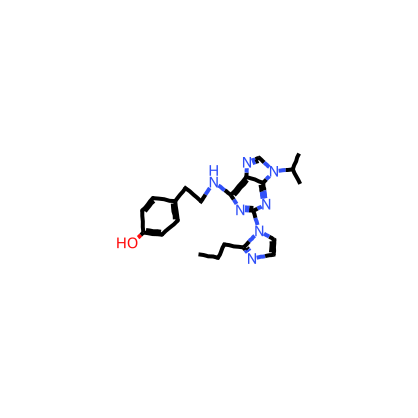 CCCc1nccn1-c1nc(NCCc2ccc(O)cc2)c2ncn(C(C)C)c2n1